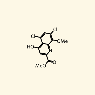 COC(=O)c1cc(O)c2c(Cl)cc(Cl)c(OC)c2n1